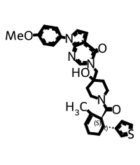 COc1ccc(-n2ccc3c(=O)n(CC4(O)CCN(C(=O)[C@@H]5C(C)=CCC[C@H]5c5ccsc5)CC4)cnc32)cc1